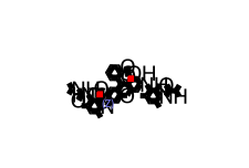 Cc1cc(C)c(NC(=O)NC(C)C)c(C)c1/N=c1/cc2oc3cc(Nc4c(C)cc(C)c(NC(=O)C(C)C)c4C)ccc3c(-c3ccccc3S(=O)(=O)O)c-2cc1S(=O)(=O)O